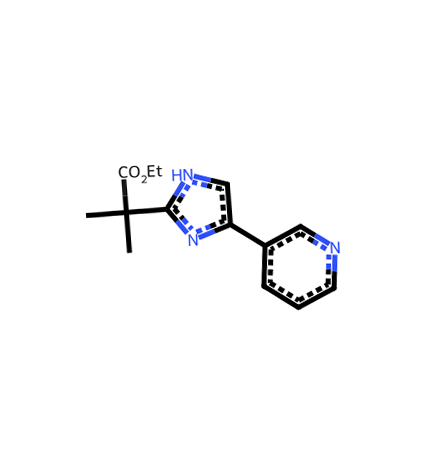 CCOC(=O)C(C)(C)c1nc(-c2cccnc2)c[nH]1